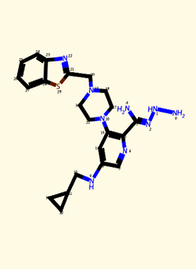 NN/N=C(\N)c1ncc(NCC2CC2)cc1N1CCN(Cc2nc3ccccc3s2)CC1